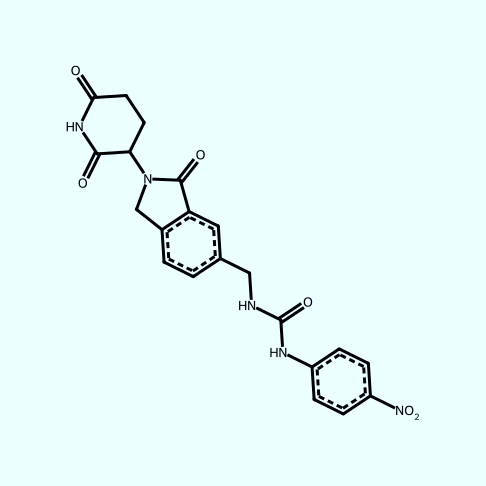 O=C1CCC(N2Cc3ccc(CNC(=O)Nc4ccc([N+](=O)[O-])cc4)cc3C2=O)C(=O)N1